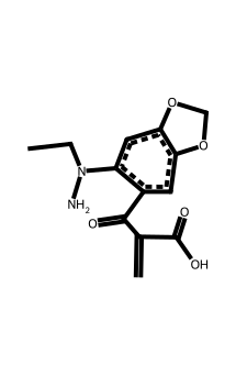 C=C(C(=O)O)C(=O)c1cc2c(cc1N(N)CC)OCO2